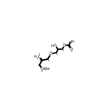 COCC(C)COCC(O)COC(=O)C(C)C